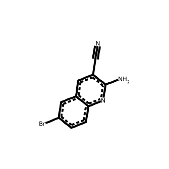 N#Cc1cc2cc(Br)ccc2nc1N